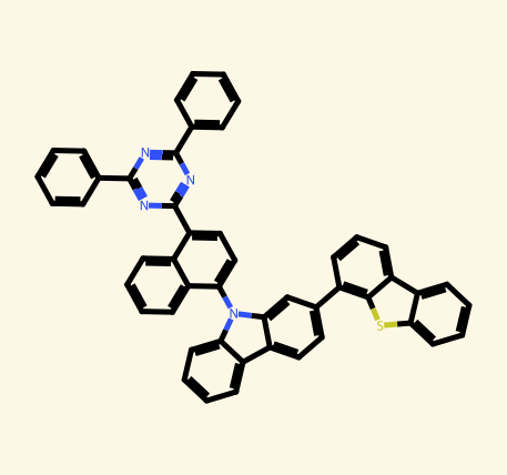 c1ccc(-c2nc(-c3ccccc3)nc(-c3ccc(-n4c5ccccc5c5ccc(-c6cccc7c6sc6ccccc67)cc54)c4ccccc34)n2)cc1